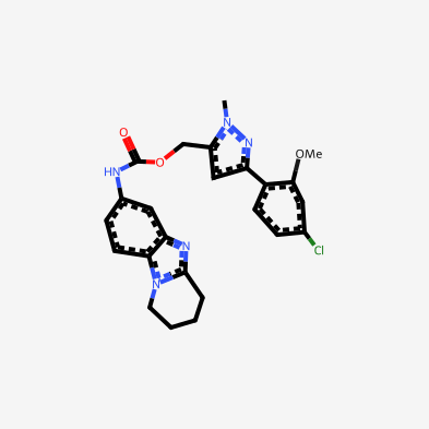 COc1cc(Cl)ccc1-c1cc(COC(=O)Nc2ccc3c(c2)nc2n3CCCC2)n(C)n1